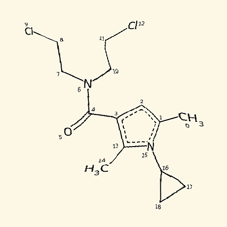 Cc1cc(C(=O)N(CCCl)CCCl)c(C)n1C1CC1